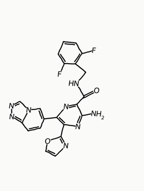 Nc1nc(-c2ncco2)c(-c2ccc3nncn3c2)nc1C(=O)NCc1c(F)cccc1F